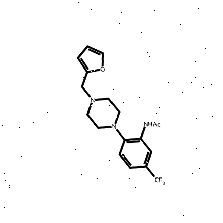 CC(=O)Nc1cc(C(F)(F)F)ccc1N1CCN(Cc2ccco2)CC1